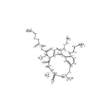 CCCCCCCCCCCCCC(=O)NCC(=O)N(C)C1C(=O)N[C@@H](C)C(=O)NC(C(=O)O)Cc2ccc(OCCN)c(c2)-c2cc1ccc2OCCN